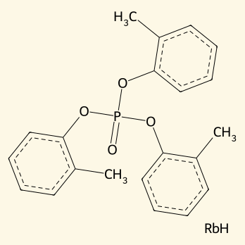 Cc1ccccc1OP(=O)(Oc1ccccc1C)Oc1ccccc1C.[RbH]